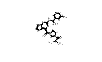 CC(Nc1nc(C(=O)N2CCN(C(=O)N(C)C)C2)c2sccc2n1)c1cncc(F)c1